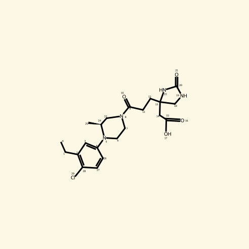 CCc1cc(N2CCN(C(=O)CCC3(CC(=O)O)CNC(=O)N3)C[C@@H]2C)ccc1Cl